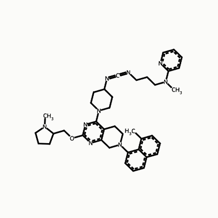 Cc1cccc2cccc(N3CCc4c(nc(OCC5CCCN5C)nc4N4CCC(N=C=NCCCN(C)c5ccccn5)CC4)C3)c12